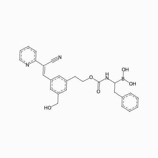 N#CC(=Cc1cc(CO)cc(CCOC(=O)NC(Cc2ccccc2)B(O)O)c1)c1ccccn1